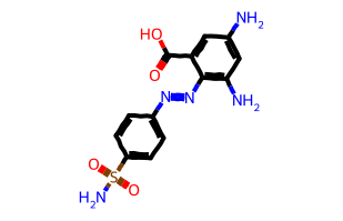 Nc1cc(N)c(N=Nc2ccc(S(N)(=O)=O)cc2)c(C(=O)O)c1